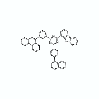 c1cc(-c2nc(-c3ccc(-c4cccc5ccccc45)cc3)nc(-c3cccc4c3sc3ccccc34)n2)cc(-c2cc3ccccc3c3ccccc23)c1